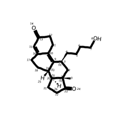 C[C@]12C[C@H](CCCCO)C3=C4CCC(=O)C=C4CC[C@H]3[C@@H]1CCC2=O